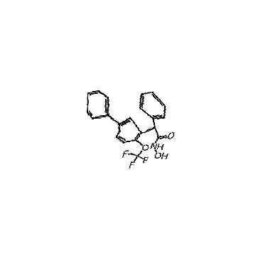 O=C(NO)C(c1ccccc1)c1cc(-c2ccccc2)ccc1OC(F)(F)F